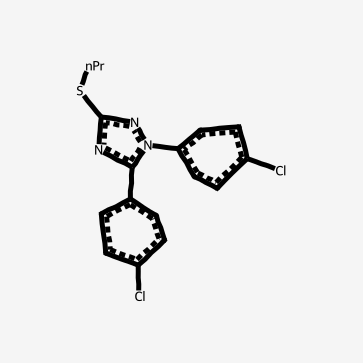 CCCSc1nc(-c2ccc(Cl)cc2)n(-c2ccc(Cl)cc2)n1